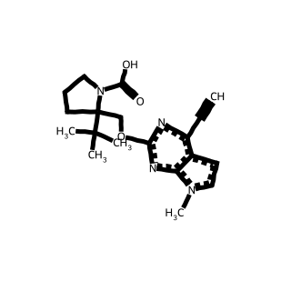 C#Cc1nc(OCC2(C(C)(C)C)CCCN2C(=O)O)nc2c1ccn2C